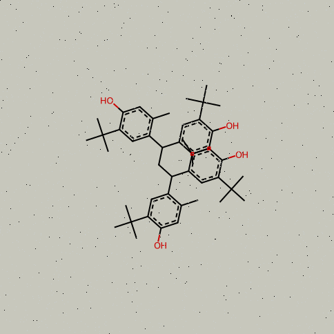 Cc1cc(O)c(C(C)(C)C)cc1C(CC(c1cc(C(C)(C)C)c(O)cc1C)c1cc(C(C)(C)C)c(O)cc1C)c1cc(C(C)(C)C)c(O)cc1C